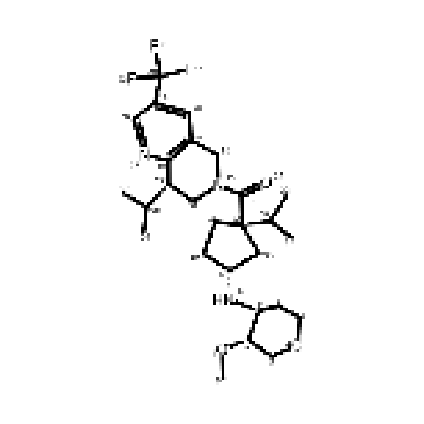 CO[C@@H]1COCC[C@@H]1N[C@@H]1CC[C@@](C(=O)N2Cc3cc(C(F)(F)F)cnc3[C@H](C(C)C)C2)(C(C)C)C1